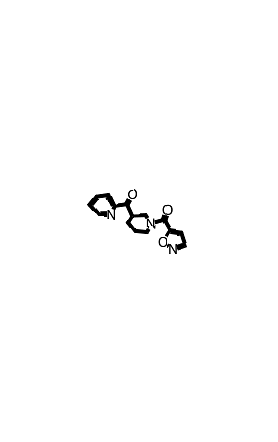 O=C(c1ccccn1)C1CCCN(C(=O)c2ccno2)C1